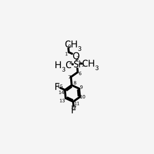 CCO[Si](C)(C)CCc1ccc(F)cc1F